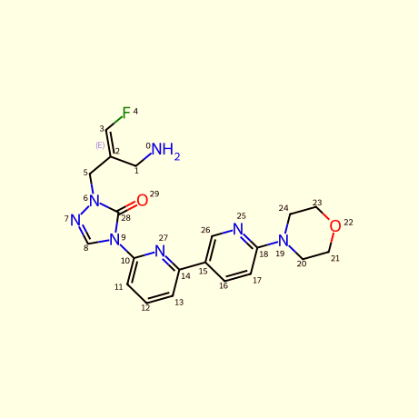 NC/C(=C\F)Cn1ncn(-c2cccc(-c3ccc(N4CCOCC4)nc3)n2)c1=O